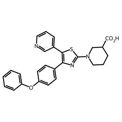 O=C(O)C1CCCN(c2nc(-c3ccc(Oc4ccccc4)cc3)c(-c3cccnc3)s2)C1